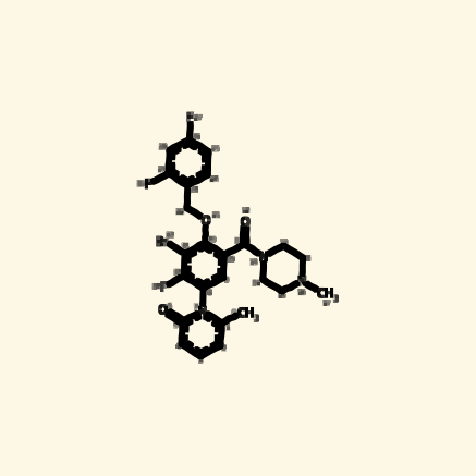 Cc1cccc(=O)n1-c1cc(C(=O)N2CCN(C)CC2)c(OCc2ccc(F)cc2F)c(Br)c1F